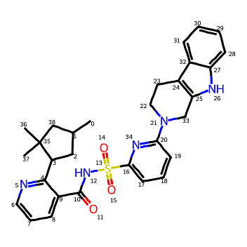 CC1CC(c2ncccc2C(=O)NS(=O)(=O)c2cccc(N3CCc4c([nH]c5ccccc45)C3)n2)C(C)(C)C1